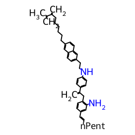 C=C(C)C(=C)CCCCCCc1ccc2cc(CCNc3ccc(C(=C)Cc4ccc(/C=C/CCCCC)cc4N)cc3)ccc2c1